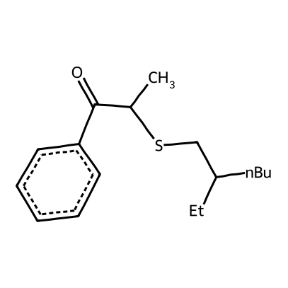 CCCCC(CC)CSC(C)C(=O)c1ccccc1